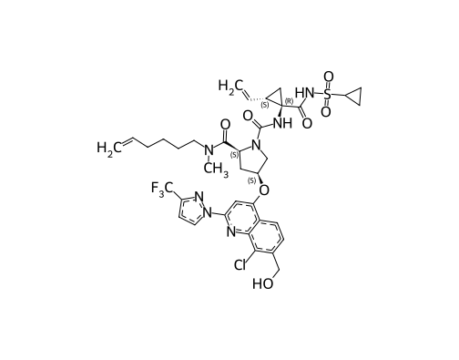 C=CCCCCN(C)C(=O)[C@@H]1C[C@H](Oc2cc(-n3ccc(C(F)(F)F)n3)nc3c(Cl)c(CO)ccc23)CN1C(=O)N[C@]1(C(=O)NS(=O)(=O)C2CC2)C[C@H]1C=C